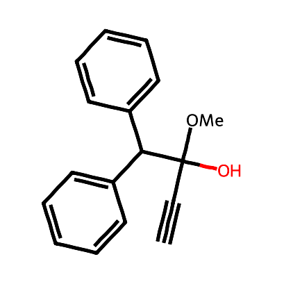 C#CC(O)(OC)C(c1ccccc1)c1ccccc1